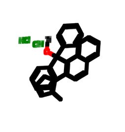 CC1=C(c2ccc3ccccc3c2C([O][Ti])(c2ccccc2)c2ccccc2)CC=C1.Cl.Cl